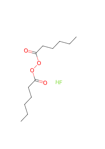 CCCCCC(=O)OOC(=O)CCCCC.F